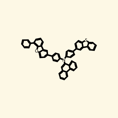 c1ccc(-c2cccc3c2oc2ccc(-c4ccc(N(c5ccc(-c6ccc7sc8ccccc8c7c6)cc5)c5cc6ccccc6c6ccccc56)cc4)cc23)cc1